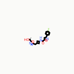 C[C@@H](O)c1nnc(CC2CC(NC(=O)c3cc(-c4ccc(F)cc4)no3)C2)o1